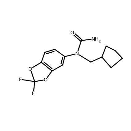 NC(=O)N(CC1CCCC1)c1ccc2c(c1)OC(F)(F)O2